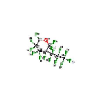 FC1OC(F)(F)C(F)(C(F)(F)C(F)(F)C(F)(F)F)C(F)(F)C1(F)F